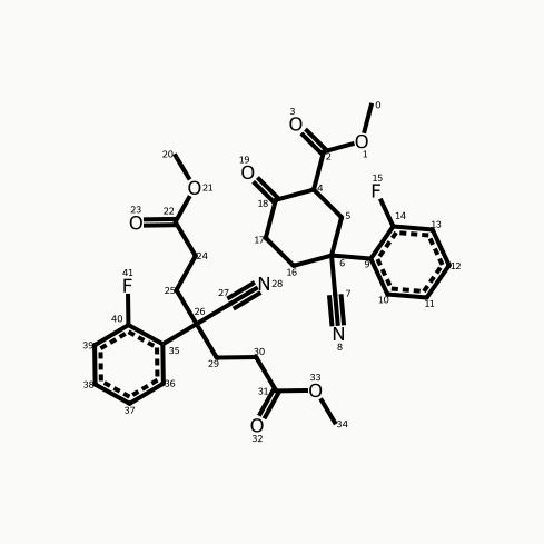 COC(=O)C1CC(C#N)(c2ccccc2F)CCC1=O.COC(=O)CCC(C#N)(CCC(=O)OC)c1ccccc1F